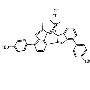 CC1=Cc2c(-c3ccc(C(C)(C)C)cc3)cccc2[CH]1[Zr+2]([CH]1C(C)=Cc2c(-c3ccc(C(C)(C)C)cc3)cccc21)=[Si](C)C.[Cl-].[Cl-]